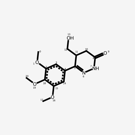 COc1cc(C2=NNC(=O)CC2CO)cc(OC)c1OC